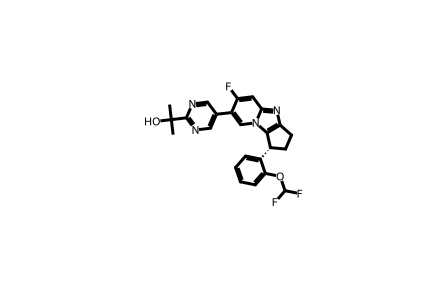 CC(C)(O)c1ncc(-c2cn3c4c(nc3cc2F)CC[C@@H]4c2ccccc2OC(F)F)cn1